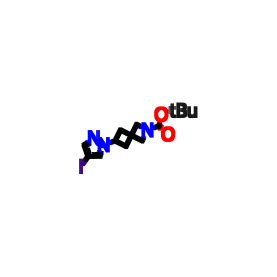 CC(C)(C)OC(=O)N1CC2(CC(n3cc(I)cn3)C2)C1